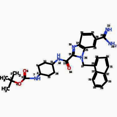 CC(C)(C)OC(=O)NC1CCC(NC(=O)c2nc3ccc(C(=N)N)cc3n2Cc2cccc3ccccc23)CC1